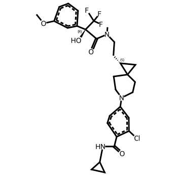 COc1cccc([C@@](O)(C(=O)N(C)CC[C@@H]2CC23CCN(c2ccc(C(=O)NC4CC4)c(Cl)c2)CC3)C(F)(F)F)c1